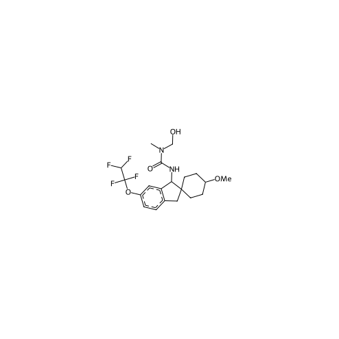 COC1CCC2(CC1)Cc1ccc(OC(F)(F)C(F)F)cc1C2NC(=O)N(C)CO